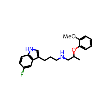 COc1ccccc1OC(C)CNCCCc1c[nH]c2ccc(F)cc12